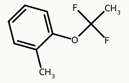 Cc1ccccc1OC(C)(F)F